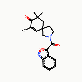 CC1(C)CC2(C=C(C#N)C1=O)CCN(C(=O)c1onc3ccccc13)C2